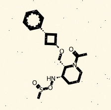 CC(=O)N1CCC[C@H](NOS(C)=O)[C@@H]1CO[C@H]1C[C@@H](c2ccccc2)C1